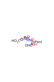 CCCCC[C@H](CN(O)C=O)C(=O)NCNC(=O)c1ccc(-c2ccc(C(=O)O)cc2)o1